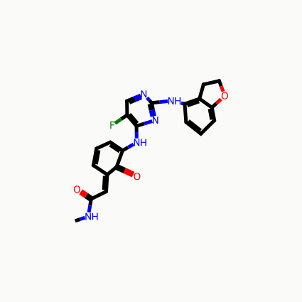 CNC(=O)C=C1C=CC=C(Nc2nc(Nc3cccc4c3CCO4)ncc2F)C1=O